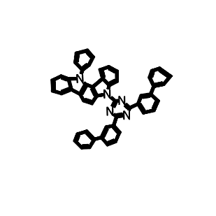 c1ccc(-c2cccc(-c3nc(-c4cccc(-c5ccccc5)c4)nc(-n4c5ccccc5c5c4ccc4c6ccccc6n(-c6ccccc6)c45)n3)c2)cc1